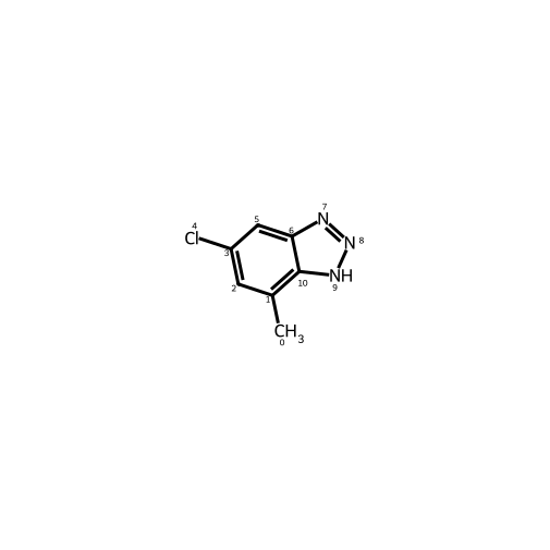 Cc1cc(Cl)cc2nn[nH]c12